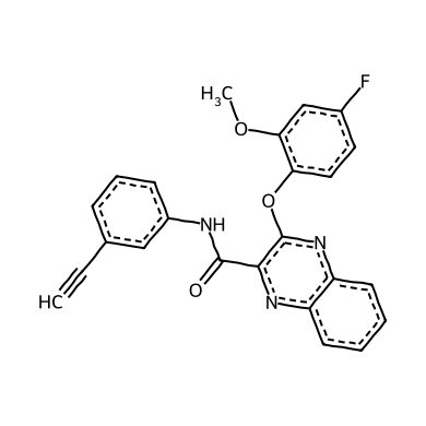 C#Cc1cccc(NC(=O)c2nc3ccccc3nc2Oc2ccc(F)cc2OC)c1